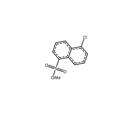 COS(=O)(=O)c1cccc2c(Cl)cccc12